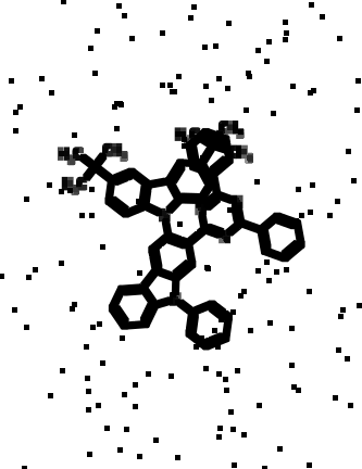 CC(C)(C)c1ccc2c(c1)c1cc(C(C)(C)C)ccc1n2-c1cc2c3ccccc3n(-c3ccccc3)c2cc1-c1nc(-c2ccccc2)nc(-c2ccccc2)n1